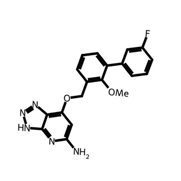 COc1c(COc2cc(N)nc3[nH]nnc23)cccc1-c1cccc(F)c1